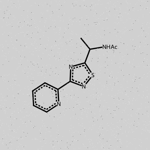 CC(=O)NC(C)c1nc(-c2ccccn2)ns1